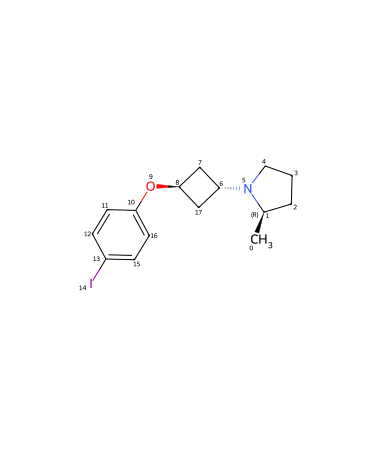 C[C@@H]1CCCN1[C@H]1C[C@H](Oc2ccc(I)cc2)C1